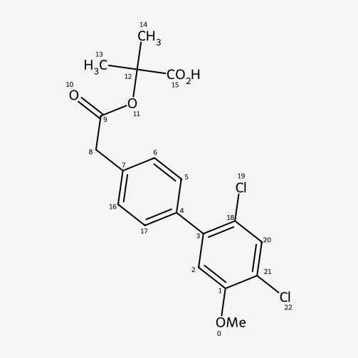 COc1cc(-c2ccc(CC(=O)OC(C)(C)C(=O)O)cc2)c(Cl)cc1Cl